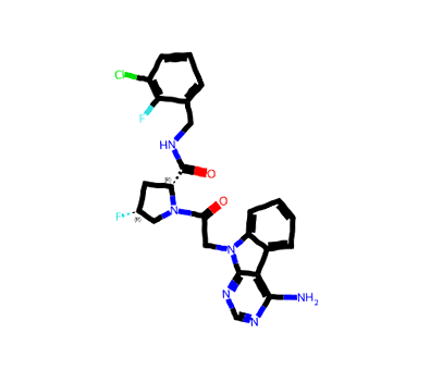 Nc1ncnc2c1c1ccccc1n2CC(=O)N1C[C@H](F)C[C@@H]1C(=O)NCc1cccc(Cl)c1F